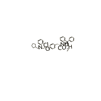 O=C(c1ccccc1)c1ccccc1NC(Cc1ccc(OCCN(CC2CCCC2)c2ccccc2Cl)cc1)C(=O)O